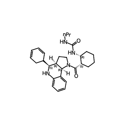 CCCNC(=O)N[C@@H]1CCCC[C@@H]1C(=O)N1CC[C@@H]2[C@H](C3C=CC=CC3)Nc3ccccc3[C@@H]21